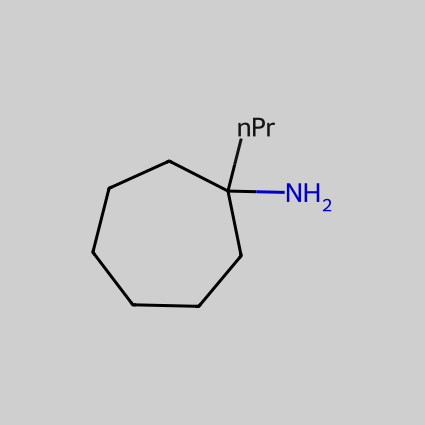 CCCC1(N)CCCCCC1